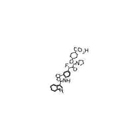 Cn1cc(C(=O)Nc2ccc(C(F)C(=O)C(OC3CCC(C(=O)O)CC3)N3CCCC3)cc2Cl)c2ccccc21